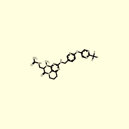 CC(=O)NCC1C(=O)N2CCCc3nc(NCc4ccc(Oc5cnc(C(F)(F)F)nc5)nc4)nc(c32)N1C